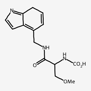 COCC(NC(=O)O)C(=O)NCC1=C2C=CN=C2CC=C1